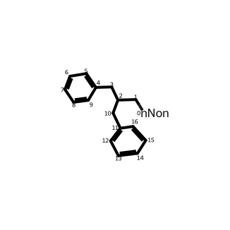 CCCCCCCCCCC(Cc1ccccc1)Cc1ccccc1